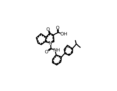 CC(C)c1ccc(-c2ccccc2NC(=O)n2cc(C(=O)O)c(=O)c3ccccc32)cc1